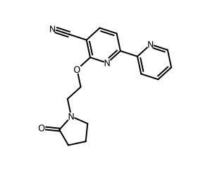 N#Cc1ccc(-c2ccccn2)nc1OCCN1CCCC1=O